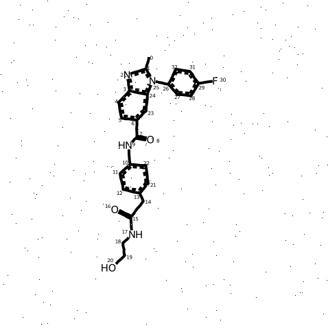 Cc1nc2ccc(C(=O)Nc3ccc(CC(=O)NCCO)cc3)cc2n1-c1ccc(F)cc1